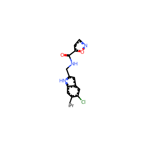 CC(C)c1cc2[nH]c(CNC(=O)c3ccno3)cc2cc1Cl